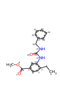 CCc1ccc(C(=O)OC)cc1NC(=O)NCc1ccccc1